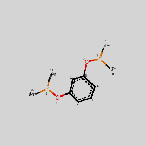 CC(C)P(Oc1cccc(OP(C(C)C)C(C)C)c1)C(C)C